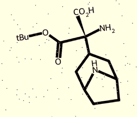 CC(C)(C)OC(=O)[C@@](N)(C(=O)O)C1CC2CCC(C1)N2